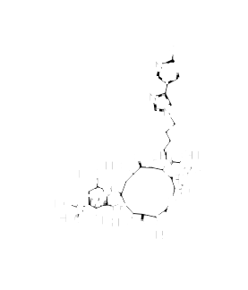 CC[C@H]1OC(=O)[C@H](C)C(=O)[C@H](C)[C@@H](OC2O[C@H](C)C[C@H](N(C)C)[C@H]2O)[C@@](C)(OC)C[C@@H](C)C(=O)[C@H](C)[C@@H](N(CO)CCCCn2cnc(-c3ccc(Cl)nc3)c2)[C@]1(CC)OC